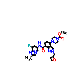 Cc1cn2cc(NC(=O)c3ccc(N4CCN(C(=O)OC(C)(C)C)CC4)c4cn(CC5CCO5)nc34)cc(F)c2n1